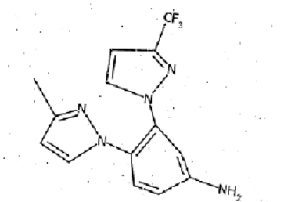 Cc1ccn(-c2ccc(N)cc2-n2ccc(C(F)(F)F)n2)n1